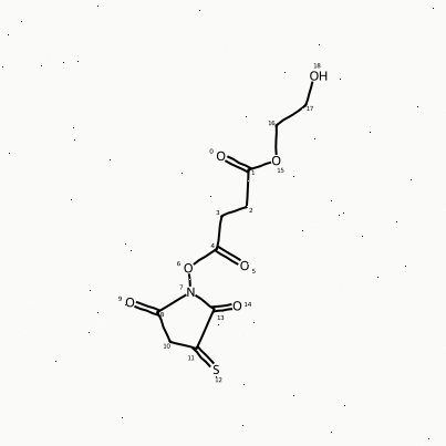 O=C(CCC(=O)ON1C(=O)CC(=S)C1=O)OCCO